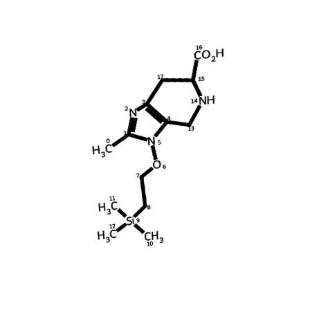 Cc1nc2c(n1OCC[Si](C)(C)C)CNC(C(=O)O)C2